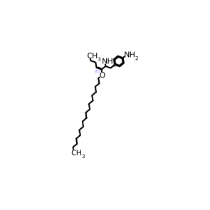 CCC/C=C(/OCCCCCCCCCCCCCCCCCC)C(N)Cc1ccc(N)cc1